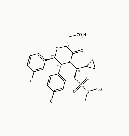 CN(C(C)(C)C)S(=O)(=O)C[C@H](C1CC1)N1C(=O)[C@@H](CC(=O)O)O[C@H](c2cccc(Cl)c2)[C@H]1c1ccc(Cl)cc1